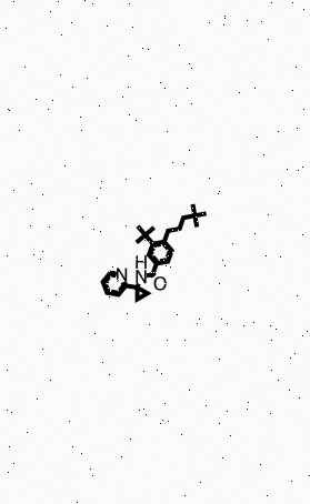 CC(C)(C)CCCc1ccc(C(=O)NC2(c3ccccn3)CC2)cc1C(C)(C)C